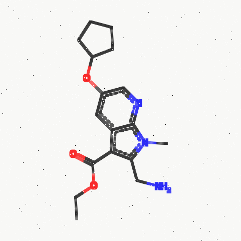 CCOC(=O)c1c(CN)n(C)c2ncc(OC3CCCC3)cc12